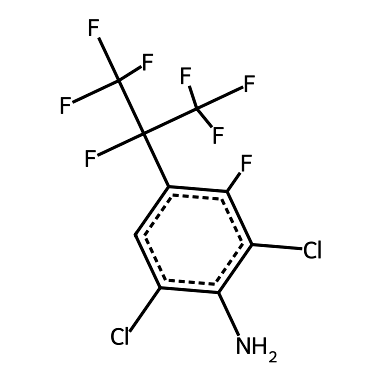 Nc1c(Cl)cc(C(F)(C(F)(F)F)C(F)(F)F)c(F)c1Cl